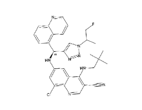 CC(CF)n1cc([C@@H](Nc2cc(Cl)c3ncc(C#N)c(NCC(C)(C)C)c3c2)c2cccc3ncccc23)nn1